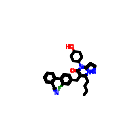 CCCCc1c(Cc2ccc(-c3ccccc3C#N)c(F)c2)c(=O)n([C@H]2CC[C@H](O)CC2)c2ccnn12